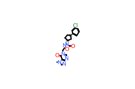 Cn1cnc2ncn(Cc3nn([C@@H]4CC[C@@H](c5cccc(Cl)c5)C4)c(=O)o3)c(=O)c21